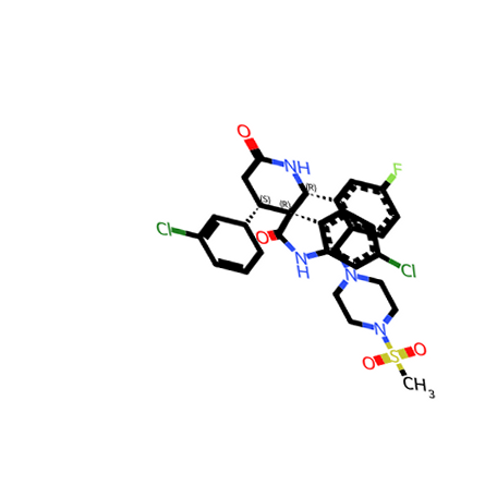 CS(=O)(=O)N1CCN(Cc2ccc(F)cc2[C@H]2NC(=O)C[C@@H](C3C=C(Cl)C=CC3)[C@]23C(=O)Nc2cc(Cl)ccc23)CC1